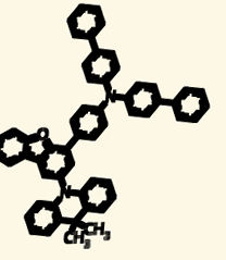 CC1(C)c2ccccc2N(c2cc(-c3ccc(N(c4ccc(-c5ccccc5)cc4)c4ccc(-c5ccccc5)cc4)cc3)c3oc4ccccc4c3c2)c2ccccc21